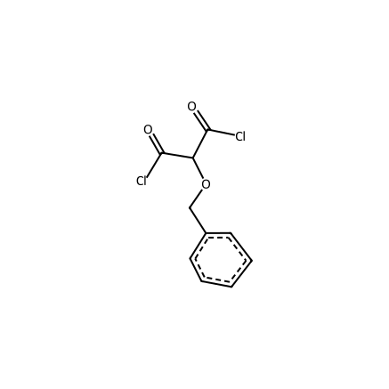 O=C(Cl)C(OCc1ccccc1)C(=O)Cl